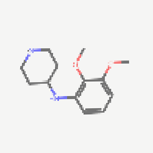 COc1cccc(NC2CC[N]CC2)c1OC